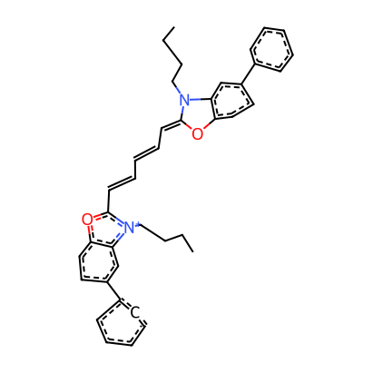 CCCCN1/C(=C/C=C/C=C/c2oc3ccc(-c4ccccc4)cc3[n+]2CCCC)Oc2ccc(-c3ccccc3)cc21